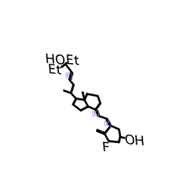 C=C1/C(=C\C=C2/CCCC3(C)C2CCC3C(C)C/C=C/C(O)(CC)CC)CC(O)CC1F